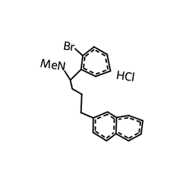 CNC(CCCc1ccc2ccccc2c1)c1ccccc1Br.Cl